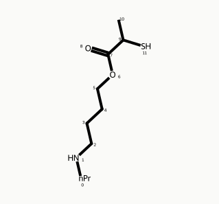 CCCNCCCCOC(=O)C(C)S